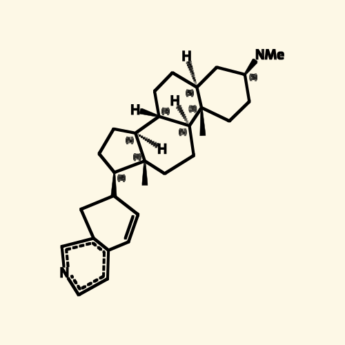 CN[C@H]1CC[C@@]2(C)[C@@H](CC[C@@H]3[C@@H]2CC[C@]2(C)[C@@H](C4C=Cc5ccncc5C4)CC[C@@H]32)C1